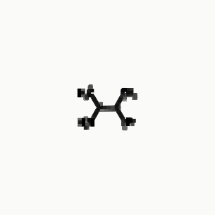 CCCC(C)=C(C)N